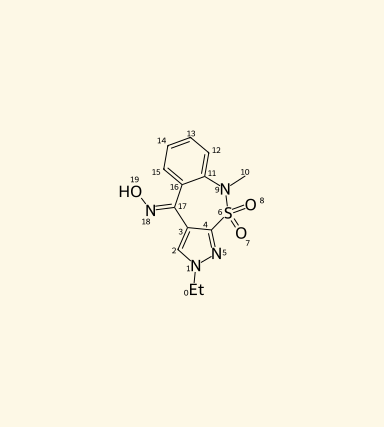 CCn1cc2c(n1)S(=O)(=O)N(C)c1ccccc1C2=NO